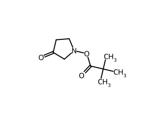 CC(C)(C)C(=O)ON1CCC(=O)C1